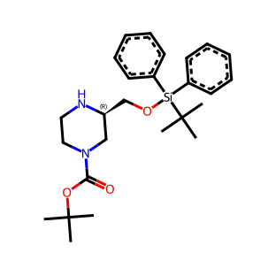 CC(C)(C)OC(=O)N1CCN[C@@H](CO[Si](c2ccccc2)(c2ccccc2)C(C)(C)C)C1